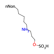 CCCCCCCCCCCCCCCCCCOS(=O)(=O)O.N